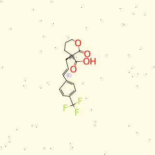 O=C(O)[C@]1(C/C=C/c2ccc(C(F)(F)F)cc2)CCCOC1=O